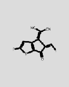 N#CC(C#N)=C1/C(=C/I)C(=O)c2sc(F)cc21